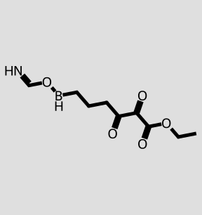 CCOC(=O)C(=O)C(=O)CCCBOC=N